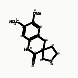 COc1cc2c(cc1C(=O)O)NC(=O)C1(CCOC1)C2